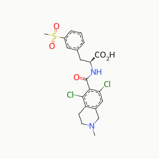 CN1CCc2c(cc(Cl)c(C(=O)N[C@@H](Cc3cccc(S(C)(=O)=O)c3)C(=O)O)c2Cl)C1